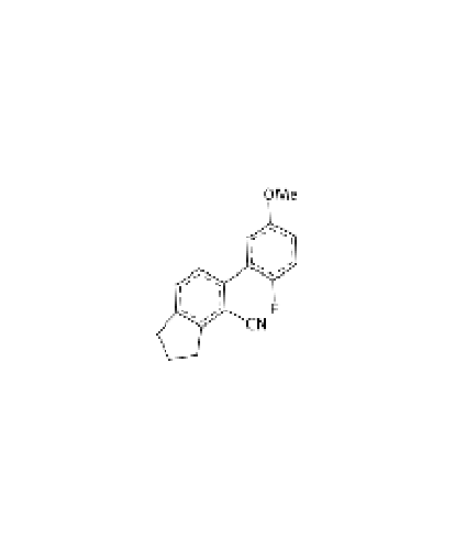 COc1ccc(F)c(-c2ccc3c(c2C#N)CCC3)c1